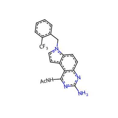 CC(=O)Nc1nc(N)nc2ccc3c(ccn3Cc3ccccc3C(F)(F)F)c12